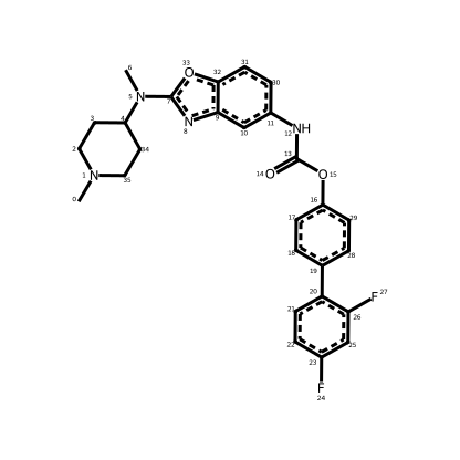 CN1CCC(N(C)c2nc3cc(NC(=O)Oc4ccc(-c5ccc(F)cc5F)cc4)ccc3o2)CC1